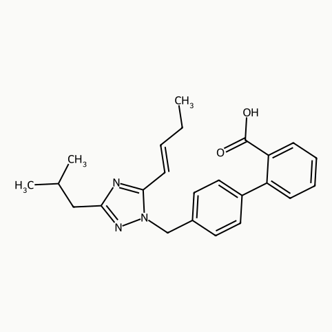 CC/C=C/c1nc(CC(C)C)nn1Cc1ccc(-c2ccccc2C(=O)O)cc1